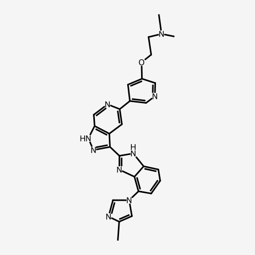 Cc1cn(-c2cccc3[nH]c(-c4n[nH]c5cnc(-c6cncc(OCCN(C)C)c6)cc45)nc23)cn1